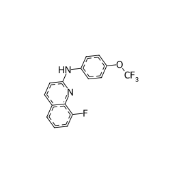 Fc1cccc2ccc(Nc3ccc(OC(F)(F)F)cc3)nc12